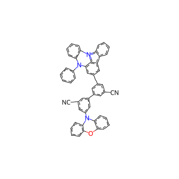 N#Cc1cc(-c2cc(C#N)cc(N3c4ccccc4Oc4ccccc43)c2)cc(-c2cc3c4c(c2)c2ccccc2n4-c2ccccc2N3c2ccccc2)c1